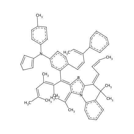 C/C=C\C=C1/c2b/c(=C(/C(C)=C(\C)C=C(C)C)c3cc(N(C4=CCC=C4)c4ccc(C)cc4)ccc3/C=C\C(=C/C)c3ccccc3)c(=C(C)C)n2-c2ccccc2C1(C)C